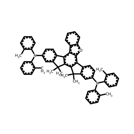 Cc1ccccc1N(c1ccc2c(c1)C(C)(C)c1c3c(c4c(oc5ccccc54)c1-2)-c1ccc(N(c2ccccc2C)c2ccccc2C)cc1C3(C)C)c1ccccc1C